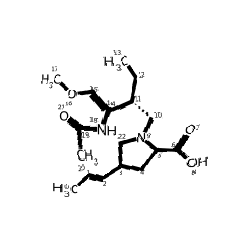 CC=CC1CC(C(=O)O)N(C[C@@H](CC)C(=COC)NC(C)=O)C1